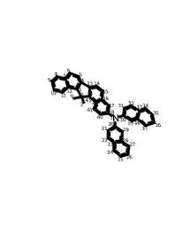 CC1(C)c2c(ccc3ccccc23)-c2ccc3cc(N(c4ccc5ccccc5c4)c4ccc5ccccc5c4)ccc3c21